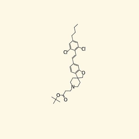 CCCCc1cc(Cl)c(C=Cc2ccc3c(c2)OCC32CCN(CCC(=O)OC(C)(C)C)CC2)c(Cl)c1